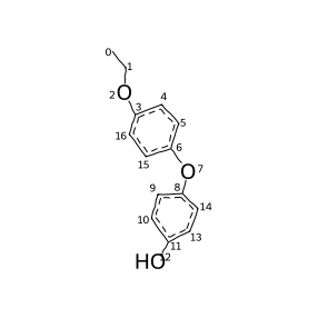 CCOc1ccc(Oc2ccc(O)cc2)cc1